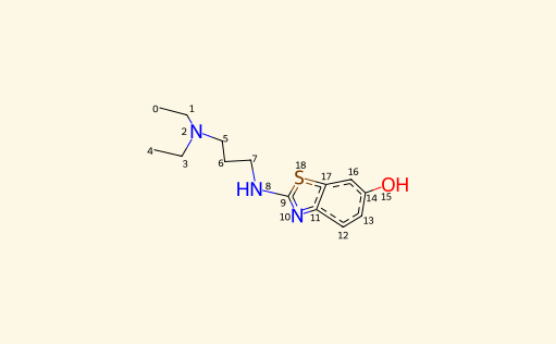 CCN(CC)CCCNc1nc2ccc(O)cc2s1